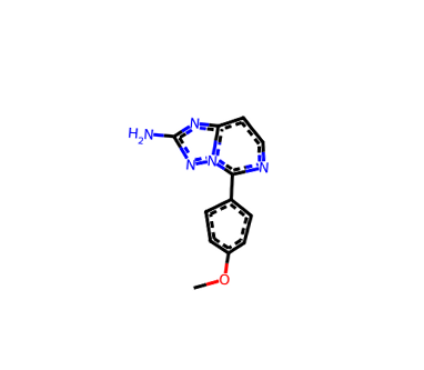 COc1ccc(-c2nccc3nc(N)nn23)cc1